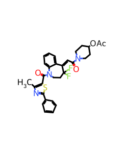 CC(=O)OC1CCN(C(=O)/C=C2/c3ccccc3N(C(=O)c3sc(-c4ccccc4)nc3C)CCC2(F)F)CC1